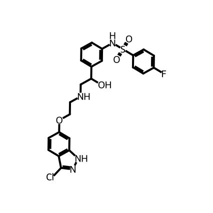 O=S(=O)(Nc1cccc(C(O)CNCCOc2ccc3c(Cl)n[nH]c3c2)c1)c1ccc(F)cc1